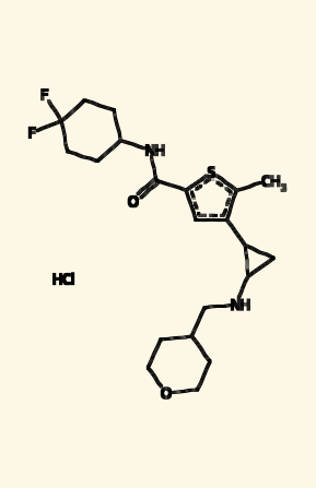 Cc1sc(C(=O)NC2CCC(F)(F)CC2)cc1C1CC1NCC1CCOCC1.Cl